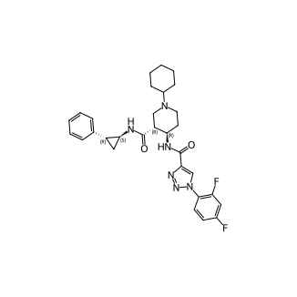 O=C(N[C@@H]1CCN(C2CCCCC2)C[C@H]1C(=O)N[C@H]1C[C@@H]1c1ccccc1)c1cn(-c2ccc(F)cc2F)nn1